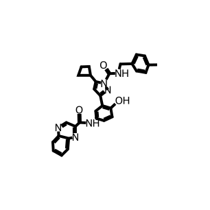 Cc1ccc(CNC(=O)n2nc(-c3cc(NC(=O)c4cnc5ccccc5n4)ccc3O)cc2C2CCC2)cc1